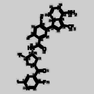 Cc1cc(C(=O)N2C[C@H](F)[C@H](NC(=O)c3cc(-c4cc(C(F)(F)F)c5c(N)ncnn45)c(F)cc3C)C2)c(F)cn1